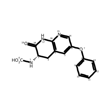 O=C(O)N[C@H]1Cc2cc(Oc3ccccc3)cnc2NC1=O